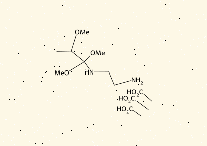 CC(=O)O.CC(=O)O.CC(=O)O.COC(C)C(NCCN)(OC)OC